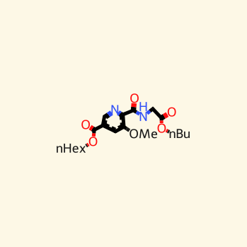 CCCCCCOC(=O)c1cnc(C(=O)NCC(=O)OCCCC)c(OC)c1